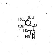 CC(C)(C)c1cc(C(=O)c2c[nH]c(S)c2S)cc(C(C)(C)C)c1O